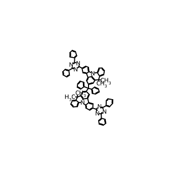 CC1(C)c2ccccc2-n2c3ccc(-c4nc(-c5ccccc5)nc(-c5ccccc5)n4)cc3c3cc(C(c4ccccc4)(c4ccccc4)c4cc5c6c(c4)c4cc(-c7nc(-c8ccccc8)nc(-c8ccccc8)n7)ccc4n6-c4ccccc4C5(C)C)cc1c32